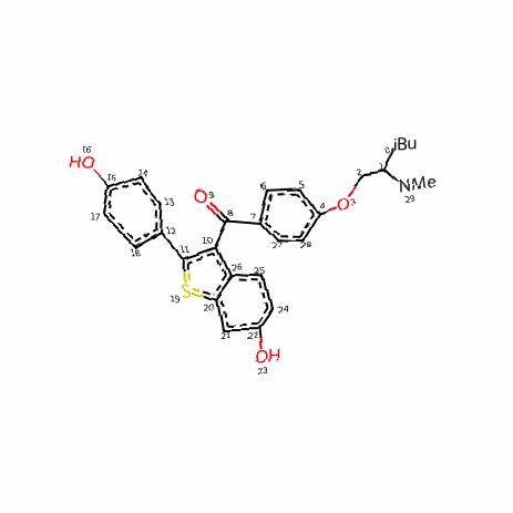 CCC(C)C(COc1ccc(C(=O)c2c(-c3ccc(O)cc3)sc3cc(O)ccc23)cc1)NC